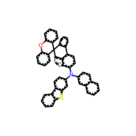 c1ccc2c(c1)Oc1ccccc1C21c2ccccc2-c2ccc(N(c3ccc4ccccc4c3)c3ccc4c(c3)sc3ccccc34)c3cccc1c23